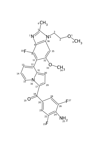 COCCn1c(C)nc2c(F)c(-c3cccn4c(C(=O)c5cc(F)c(N)c(F)c5)ccc34)c(OC)cc21